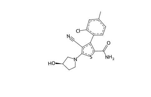 Cc1ccc(-c2c(C(N)=O)sc(N3CC[C@@H](O)C3)c2C#N)c(Cl)c1